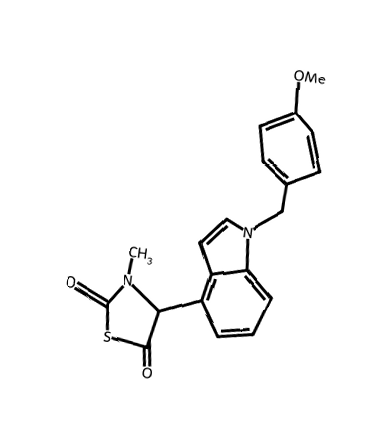 COc1ccc(Cn2ccc3c(C4C(=O)SC(=O)N4C)cccc32)cc1